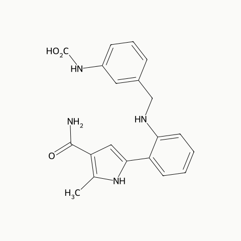 Cc1[nH]c(-c2ccccc2NCc2cccc(NC(=O)O)c2)cc1C(N)=O